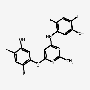 Cc1nc(Nc2cc(O)c(F)cc2F)cc(Nc2cc(O)c(F)cc2F)n1